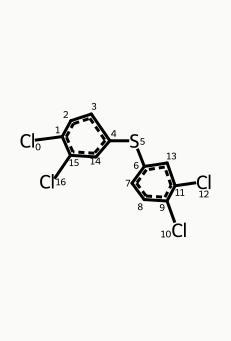 Clc1ccc(Sc2ccc(Cl)c(Cl)c2)cc1Cl